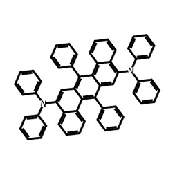 c1ccc(-c2c3cc(N(c4ccccc4)c4ccccc4)c4ccccc4c3c(-c3ccccc3)c3cc(N(c4ccccc4)c4ccccc4)c4ccccc4c23)cc1